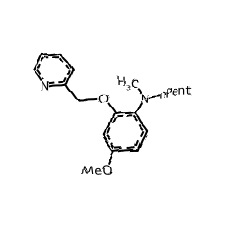 CCCCCN(C)c1ccc(OC)cc1OCc1ccccn1